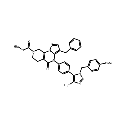 COc1ccc(Cn2nnc(C)c2-c2ccc(-n3c(=O)c4c(n5ncc(Cc6ccccc6)c35)CN(C(=O)OC(C)(C)C)CC4)cc2)cc1